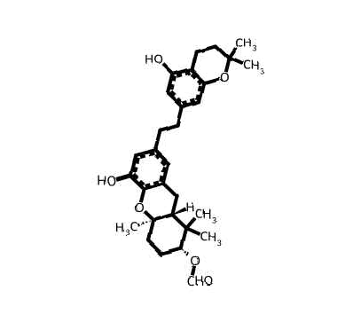 CC1(C)CCc2c(O)cc(CCc3cc(O)c4c(c3)C[C@@H]3C(C)(C)[C@H](OC=O)CC[C@@]3(C)O4)cc2O1